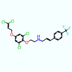 FC(F)(F)c1ccc(C=CCNCCOc2c(Cl)cc(OCC=C(Cl)Cl)cc2Cl)cc1